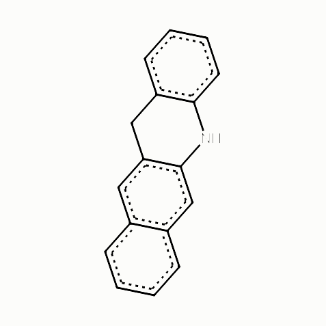 c1ccc2c(c1)Cc1cc3ccccc3cc1N2